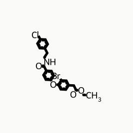 CCOC(=O)Cc1ccc(Oc2ccc(C(=O)NCCc3ccc(Cl)cc3)cc2)c(Br)c1